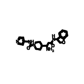 NC(CC(=O)NC1COc2ccccc21)C1CCN(C(=O)Nc2ccncc2)CC1